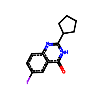 O=c1[nH]c(C2CCCC2)nc2ccc(I)cc12